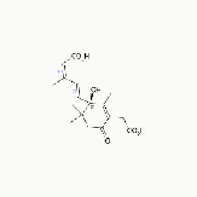 CC1=C(CC(=O)O)C(=O)CC(C)(C)[C@]1(O)/C=C/C(C)=C\C(=O)O